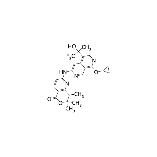 C[C@@H]1c2nc(Nc3cc4c(C(C)(O)C(F)(F)F)cnc(OC5CC5)c4cn3)ccc2C(=O)OC1(C)C